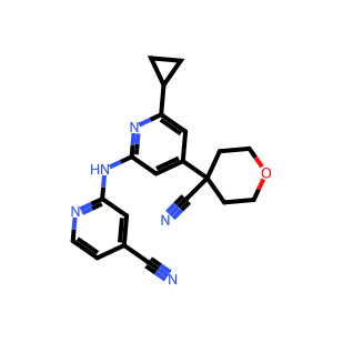 N#Cc1ccnc(Nc2cc(C3(C#N)CCOCC3)cc(C3CC3)n2)c1